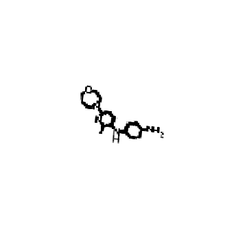 Cc1nc(N2CCCOCC2)ccc1NC1CCC(N)CC1